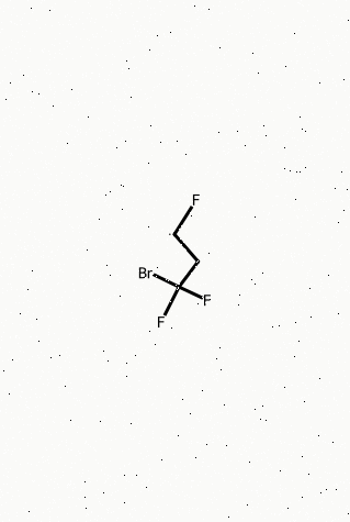 F[CH]CC(F)(F)Br